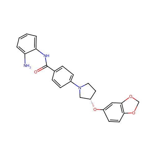 Nc1ccccc1NC(=O)c1ccc(N2CC[C@H](Oc3ccc4c(c3)OCO4)C2)cc1